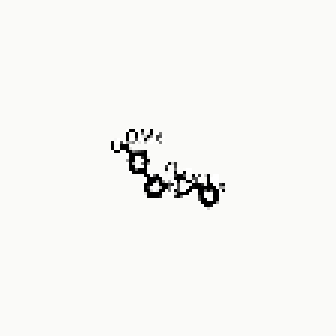 COC(=O)c1ccc(-c2cccc(N3CCC(C)(c4ccccc4)OC3=O)c2)cc1